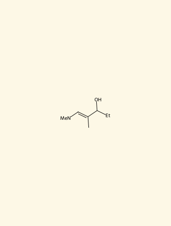 CCC(O)/C(C)=C/NC